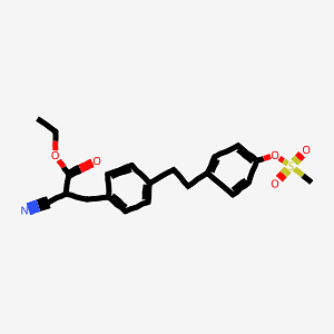 CCOC(=O)C(C#N)Cc1ccc(CCc2ccc(OS(C)(=O)=O)cc2)cc1